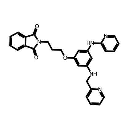 O=C1c2ccccc2C(=O)N1CCCOc1cc(NCc2ccccn2)cc(Nc2ccccn2)c1